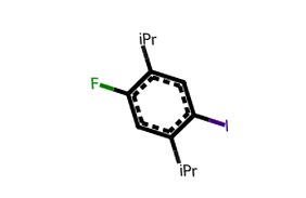 CC(C)c1cc(I)c(C(C)C)cc1F